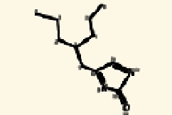 CCCC(CCC)CC1=NC(=O)N=C1